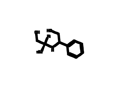 CCCC[C@](CC)(CO)NC(CO)c1ccccc1